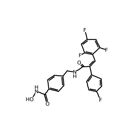 O=C(NCc1ccc(C(=O)NO)cc1)C(=Cc1c(F)cc(F)cc1F)c1ccc(F)cc1